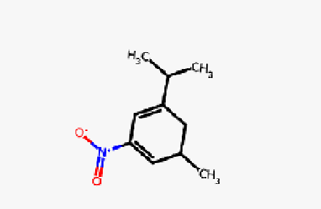 CC1C=C([N+](=O)[O-])C=C(C(C)C)C1